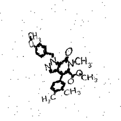 COC(=O)c1c(-c2ccc(C)c(C)c2)c2cnn(Cc3ccc(OC)cc3)c2c(=O)n1C